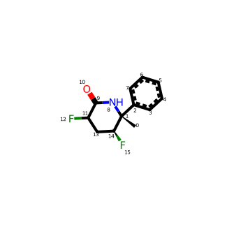 C[C@]1(c2ccccc2)NC(=O)C(F)C[C@@H]1F